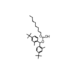 CCCCCCCCOP(O)OC(c1ccc(C(C)(C)C)cc1C)c1ccc(C(C)(C)C)cc1C